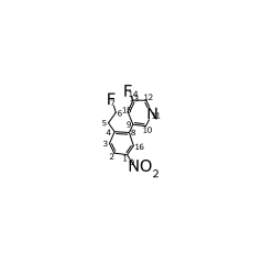 O=[N+]([O-])c1ccc(CCF)c(-c2cncc(F)c2)c1